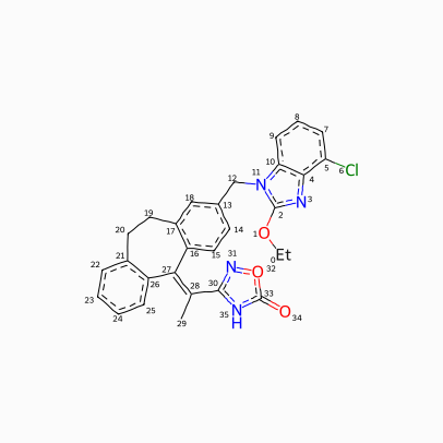 CCOc1nc2c(Cl)cccc2n1Cc1ccc2c(c1)CCc1ccccc1C2=C(C)c1noc(=O)[nH]1